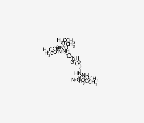 CC(C)(C)OC(=O)N=C(NCc1ccc(NC(=O)c2ccc(CCCNC(=BOC#N)NC(=O)OC(C)(C)C)o2)cc1)NC(=O)OC(C)(C)C